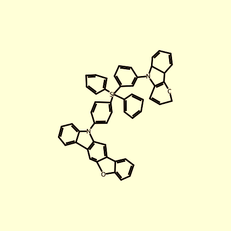 C1=CC2C3=C(C=CCC3)N(c3cccc([Si](c4ccccc4)(c4ccccc4)c4ccc(-n5c6ccccc6c6cc7oc8ccccc8c7cc65)cc4)c3)C2C=C1